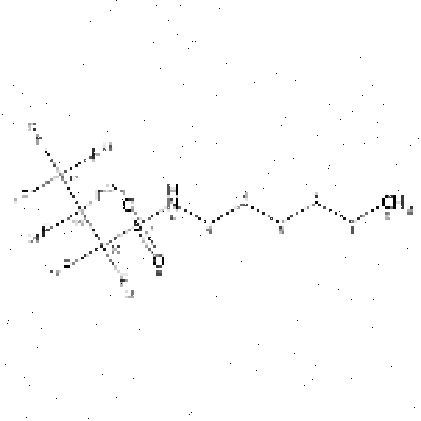 CCCCCCNS(=O)(=O)C(F)(F)C(F)(F)C(F)(F)F